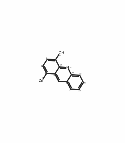 Oc1cc[c]([Zn])c2cc3ccccc3nc12